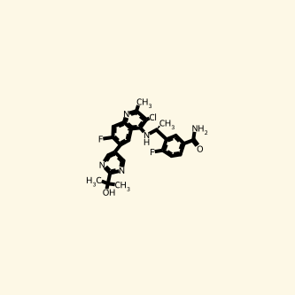 Cc1nc2cc(F)c(-c3cnc(C(C)(C)O)nc3)cc2c(N[C@H](C)c2cc(C(N)=O)ccc2F)c1Cl